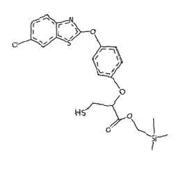 C[Si](C)(C)COC(=O)C(CS)Oc1ccc(Oc2nc3ccc(Cl)cc3s2)cc1